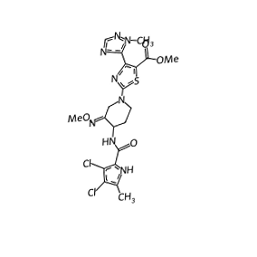 CON=C1CN(c2nc(-c3ncnn3C)c(C(=O)OC)s2)CCC1NC(=O)c1[nH]c(C)c(Cl)c1Cl